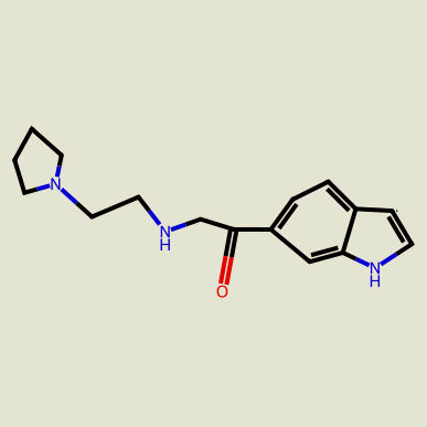 O=C(CNCCN1CCCC1)c1ccc2[c]c[nH]c2c1